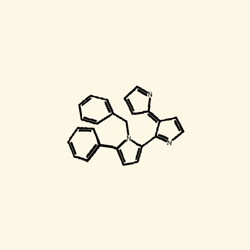 C1=CC(=C2C=CN=C2c2ccc(-c3ccccc3)n2Cc2ccccc2)N=C1